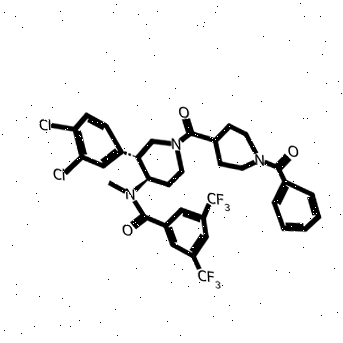 CN(C(=O)c1cc(C(F)(F)F)cc(C(F)(F)F)c1)[C@@H]1CCN(C(=O)C2CCN(C(=O)c3ccccc3)CC2)C[C@H]1c1ccc(Cl)c(Cl)c1